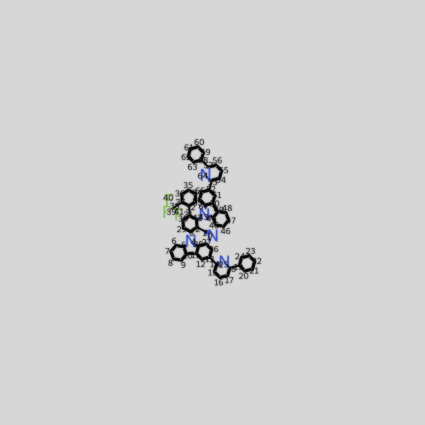 N#Cc1c(-n2c3ccccc3c3cc(-c4cccc(-c5ccccc5)n4)ccc32)ccc(-c2ccccc2C(F)(F)F)c1-n1c2ccccc2c2cc(-c3cccc(-c4ccccc4)n3)ccc21